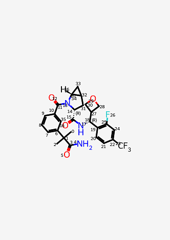 CC(C)(C(N)=O)c1cccc(C(=O)N2[C@@H](C(=O)N[C@@H](c3ccc(C(F)(F)F)cc3F)C3COC3)CC3C[C@H]32)c1